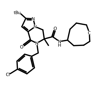 CC(C)(C)c1cc2n(n1)CC(C)(C(=O)NC1CCCCCCC1)N(Cc1ccc(Cl)cc1)C2=O